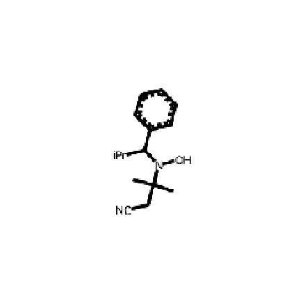 CC(C)C(c1ccccc1)N(O)C(C)(C)CC#N